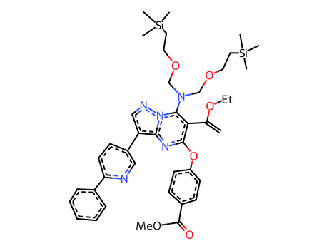 C=C(OCC)c1c(Oc2ccc(C(=O)OC)cc2)nc2c(-c3ccc(-c4ccccc4)nc3)cnn2c1N(COCC[Si](C)(C)C)COCC[Si](C)(C)C